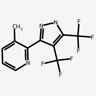 Cc1cccnc1C1=N[N]C(C(F)(F)F)=C1C(F)(F)F